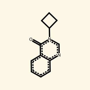 O=c1c2ccccc2ncn1C1CCC1